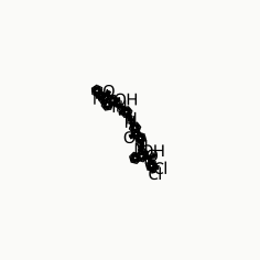 CON(c1ccc(Cl)c(Cl)c1)c1cc2ccccc2c(N=Nc2ccc3c(c2)C(=O)c2cc(N=Nc4ccc(N=Nc5c(O)cc6c(=O)n7c8ccccc8nc7c7cccc5c67)c(C)c4)ccc2-3)c1O